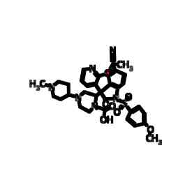 CCOc1ncccc1C1(C2CN(C3CCN(C)CC3)CCN2C(=O)O)C(=O)N(S(=O)(=O)c2ccc(OC)cc2)c2ccc(C#N)cc21